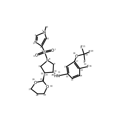 Cn1cnc(S(=O)(=O)N2C[C@H](Nc3ccc(F)c(OC(F)(F)F)c3)[C@@H](C3OCCCO3)C2)c1